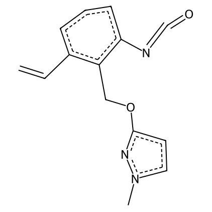 C=Cc1cccc(N=C=O)c1COc1ccn(C)n1